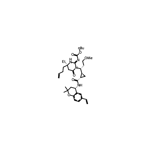 C=CCC[C@]1(CC)CC(=O)N([C@H](CCOC)[C@H]2C[C@@H]2C(=O)N[C@H]2CC(C)(C)Oc3ccc(C=C)cc32)/C(=N/C(=O)OCCCC)N1